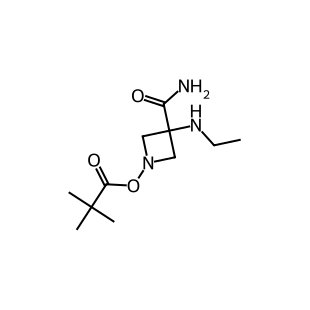 CCNC1(C(N)=O)CN(OC(=O)C(C)(C)C)C1